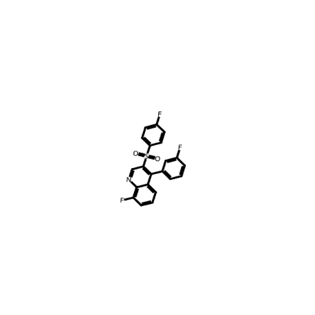 O=S(=O)(c1ccc(F)cc1)c1cnc2c(F)cccc2c1-c1cccc(F)c1